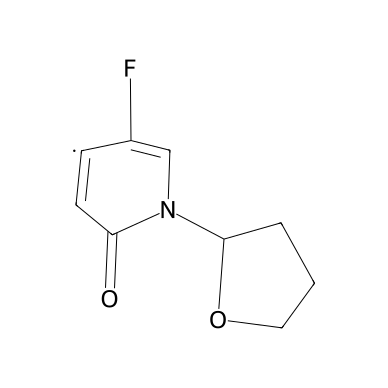 O=c1c[c]c(F)cn1C1CCCO1